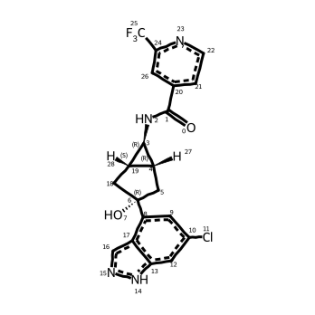 O=C(N[C@H]1[C@@H]2C[C@@](O)(c3cc(Cl)cc4[nH]ncc34)C[C@@H]21)c1ccnc(C(F)(F)F)c1